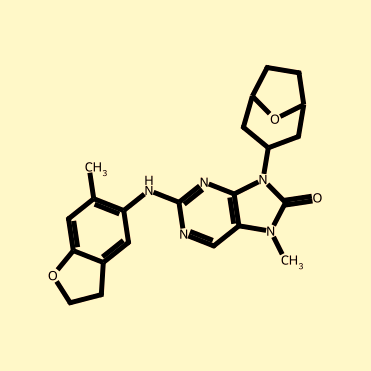 Cc1cc2c(cc1Nc1ncc3c(n1)n(C1CC4CCC(C1)O4)c(=O)n3C)CCO2